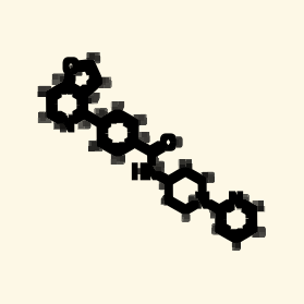 O=C(NC1CCN(c2ccccn2)CC1)c1ccc(-c2nccc3occc23)cc1